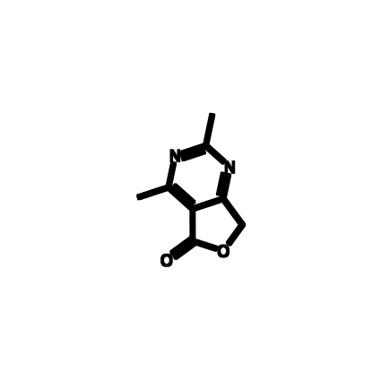 Cc1nc(C)c2c(n1)COC2=O